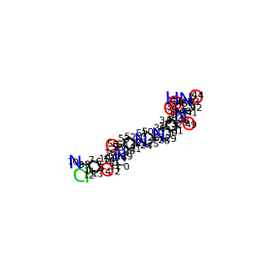 CC1(C)[C@H](Oc2ccc(C#N)c(Cl)c2)C(C)(C)[C@H]1N1Cc2cc(N3CCC(N4CCc5cc6c(cc5C4)C(=O)N(C4CCC(=O)NC4=O)C6=O)CC3)ccc2C1=O